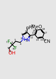 CCCc1cn(CCC(F)(F)CO)nc1-c1cc(C#N)ccc1OC